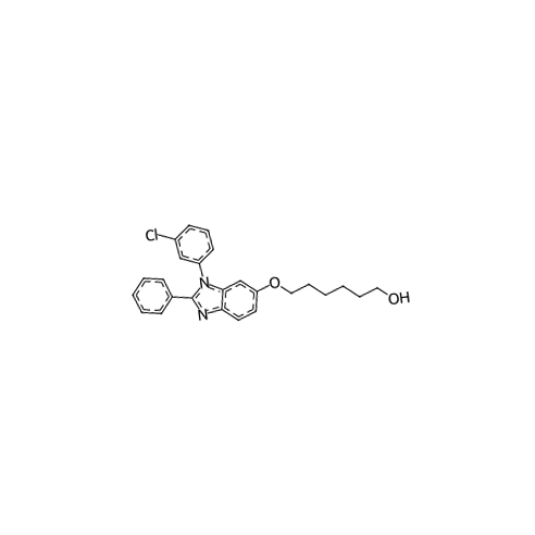 OCCCCCCOc1ccc2nc(-c3ccccc3)n(-c3cccc(Cl)c3)c2c1